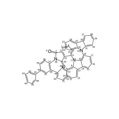 O=C1c2cccc(-n3c4ccccc4c4cccc(-n5c6ccccc6c6ccccc65)c43)c2C(=O)N1c1ccc(-c2ccccc2)cc1-c1ccccc1